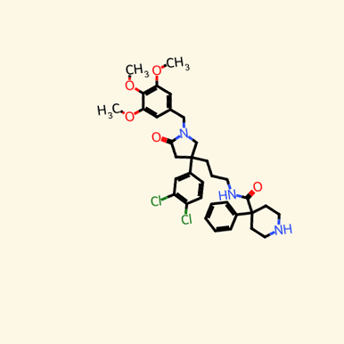 COc1cc(CN2CC(CCCNC(=O)C3(c4ccccc4)CCNCC3)(c3ccc(Cl)c(Cl)c3)CC2=O)cc(OC)c1OC